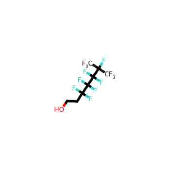 OCCC(F)(F)C(F)(F)C(F)(F)C(F)(C(F)(F)F)C(F)(F)F